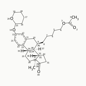 CC(=O)OCCCCC[C@@H]1Cc2cc(OC3CCCCO3)ccc2[C@H]2CC[C@]3(C)C(=O)CC[C@H]3[C@H]12